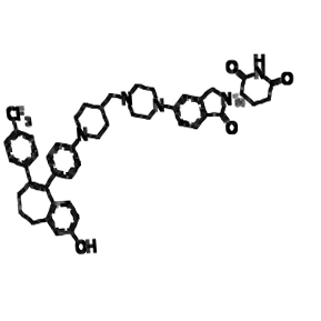 O=C1CC[C@H](N2Cc3cc(N4CCN(CC5CCN(c6ccc(C7=C(c8ccc(C(F)(F)F)cc8)CCCc8cc(O)ccc87)cc6)CC5)CC4)ccc3C2=O)C(=O)N1